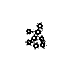 c1ccc(-c2nc3c(N(c4ccc5sc6ccccc6c5c4)c4ccc5c6ccccc6n(-c6ccccc6)c5c4)cc4oc5ccccc5c4c3o2)cc1